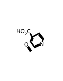 C=O.O=C(O)c1ccncc1